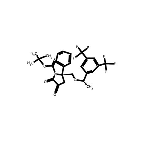 C[C@@H](OC[C@@]1(c2ccccc2)CC(=O)C(=O)N1C(=O)OC(C)(C)C)c1cc(C(F)(F)F)cc(C(F)(F)F)c1